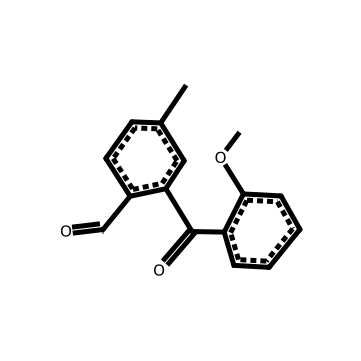 COc1ccccc1C(=O)c1cc(C)ccc1[C]=O